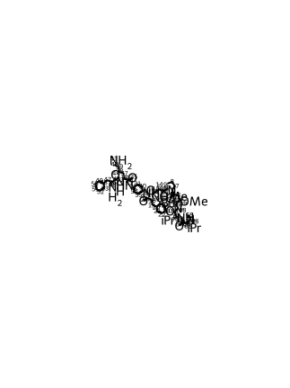 CC[C@H](C)[C@@H]([C@@H](CC(=O)N1CCC[C@H]1[C@H](OC)[C@@H](C)C(=O)NC(CC1C=CC=CC1)C(=O)Nc1ccc(NC(=O)[C@H](CCCCN)NC(=O)[C@@H](N)Cc2ccccc2)cc1)OC)N(C)C(=O)[C@@H](NC(=O)[C@H](C(C)C)N(C)C)C(C)C